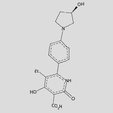 CCc1c(-c2ccc(N3CC[C@@H](O)C3)cc2)[nH]c(=O)c(C(=O)O)c1O